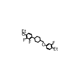 CCOc1ccc(C2CCC(COc3ccc(CC)c(F)c3)CC2)c(F)c1F